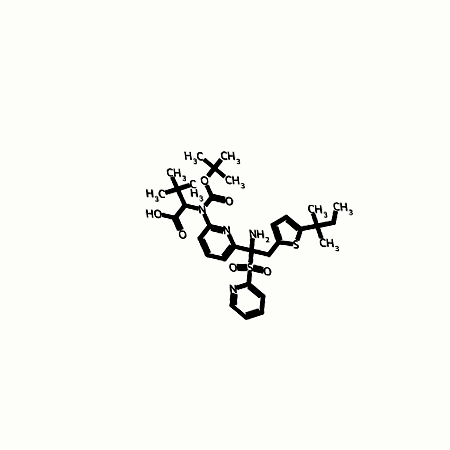 CCC(C)(C)c1ccc(CC(N)(c2cccc(N(C(=O)OC(C)(C)C)C(C(=O)O)C(C)(C)C)n2)S(=O)(=O)c2ccccn2)s1